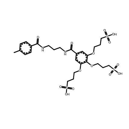 Cc1ccc(C(=O)NCCCNC(=O)c2cc(OCCCS(=O)(=O)O)c(OCCCS(=O)(=O)O)c(OCCCS(=O)(=O)O)c2)cc1